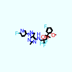 COc1ccc(F)cc1C(C)(C)CC(O)(CNc1nc(C)nc2c1cnn2-c1ccc(F)nc1)C(F)(F)F